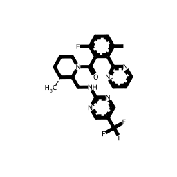 C[C@@H]1CCCN(C(=O)c2c(F)ccc(F)c2-c2ncccn2)C1CNc1ncc(C(F)(F)F)cn1